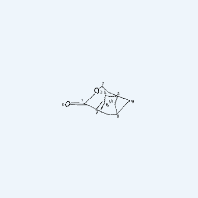 O=C1OCC23CC=C1C(C2)C3